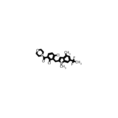 Cc1cc(C(C)(F)F)cc2c1cc(Cc1c(Cl)ccc(C(=O)N3CCOCC3)c1Cl)n2C